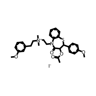 COc1ccc(C2Sc3ccccc3N(CC[N+](C)(C)CCc3cccc(OC)c3)C(=O)C2OC(C)=O)cc1.[I-]